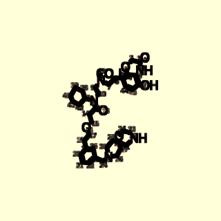 O=C1COc2c(CCN(CCN(C(=O)CCOCCc3cccc(CN4CCC5(CC4)CNCCO5)c3)C3CCCCC3)C(=O)O)ccc(O)c2N1